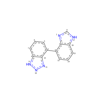 [c]1nc2c(-c3cccc4[nH]nnc34)cccc2[nH]1